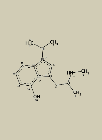 CNC(C)Cc1cn(C(C)C)c2cccc(O)c12